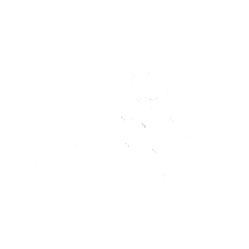 c1ccc(-c2nc(-c3ccc4c(c3)oc3ccccc34)nc(-n3c4ccccc4c4ccc5c6ccccc6n(-c6cccc7c8ccccc8c8ccccc8c67)c5c43)n2)cc1